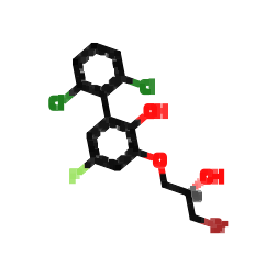 Oc1c(OC[C@H](O)CBr)cc(F)cc1-c1c(Cl)cccc1Cl